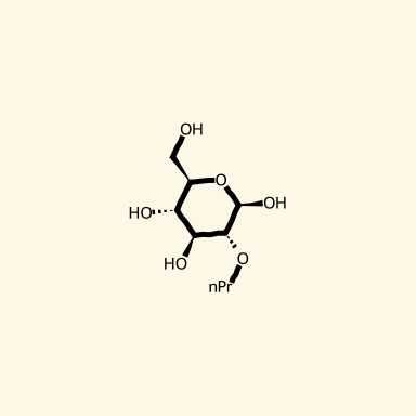 CCCO[C@@H]1[C@@H](O)[C@H](O)[C@@H](CO)O[C@H]1O